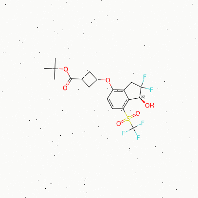 CC(C)(C)OC(=O)C1CC(Oc2ccc(S(=O)(=O)C(F)(F)F)c3c2CC(F)(F)[C@H]3O)C1